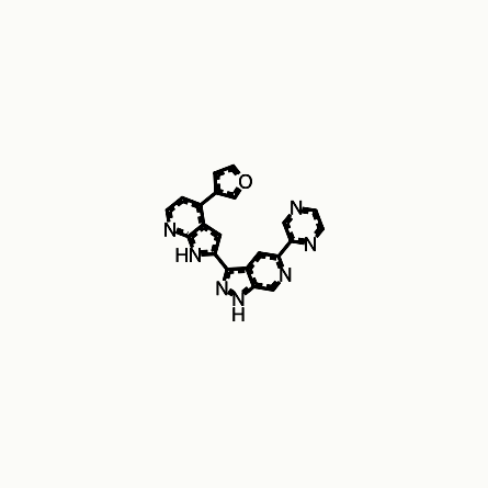 c1cnc(-c2cc3c(-c4cc5c(-c6ccoc6)ccnc5[nH]4)n[nH]c3cn2)cn1